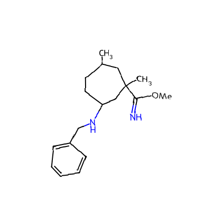 COC(=N)C1(C)CC(C)CCC(NCc2ccccc2)C1